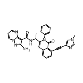 C[C@@H](NC(=O)c1c(N)nn2cccnc12)c1nc2cccc(C#Cc3cn(C)cn3)c2c(=O)n1-c1ccccc1